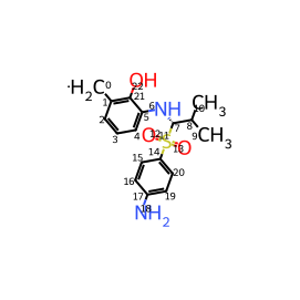 [CH2]c1cccc(N[C@H](C(C)C)S(=O)(=O)c2ccc(N)cc2)c1O